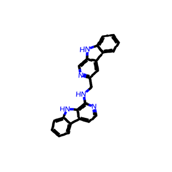 c1ccc2c(c1)[nH]c1cnc(CNc3nccc4c3[nH]c3ccccc34)cc12